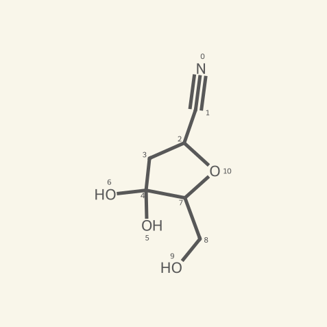 N#CC1CC(O)(O)C(CO)O1